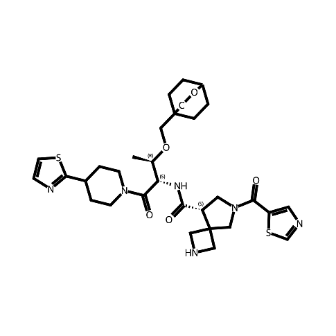 C[C@@H](OCC12CCC(CC1)OC2)[C@H](NC(=O)[C@@H]1CN(C(=O)c2cncs2)CC12CNC2)C(=O)N1CCC(c2nccs2)CC1